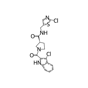 O=C(NCc1cnc(Cl)s1)[C@H]1CCN(C(=O)c2[nH]c3ccccc3c2Cl)C1